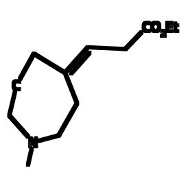 CCOC(=O)C/C=C1/CCCN(C)CC1